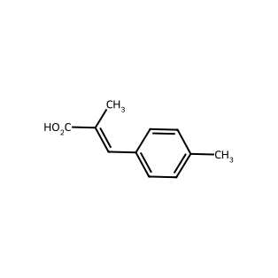 CC(=Cc1ccc(C)cc1)C(=O)O